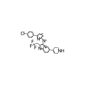 CN(c1nc(-c2ccc(Cl)cc2)cs1)c1c(CC(F)(F)F)nc2ccc(C3=CCNCC3)cn12